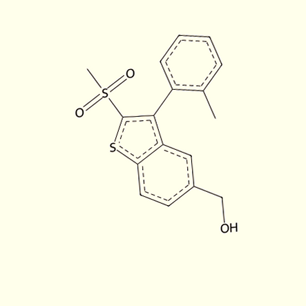 Cc1ccccc1-c1c(S(C)(=O)=O)sc2ccc(CO)cc12